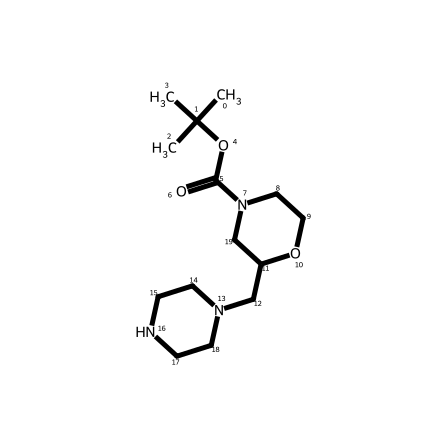 CC(C)(C)OC(=O)N1CCOC(CN2CCNCC2)C1